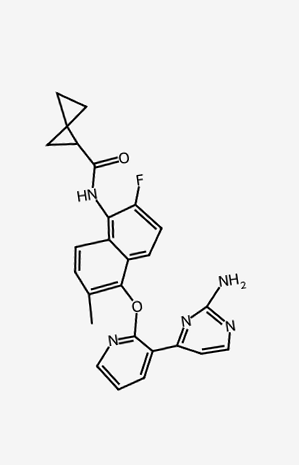 Cc1ccc2c(NC(=O)C3CC34CC4)c(F)ccc2c1Oc1ncccc1-c1ccnc(N)n1